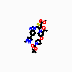 COC(=O)c1sc(-n2cnc3cc(-c4cnn(C)c4)ccc32)cc1OC(C)c1cc(OC2CCN(C(=O)OC(C)(C)C)CC2)ccn1